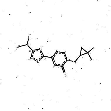 CC1(C)CC1Cn1ccc(-c2nnc(C(F)F)o2)cc1=O